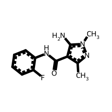 Cc1nn(C)c(N)c1C(=O)Nc1ccccc1F